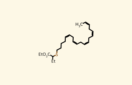 C/C=C\C/C=C\C/C=C\C/C=C\C/C=C\CCCCSC(CC)C(=O)OCC